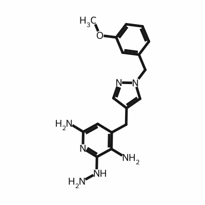 COc1cccc(Cn2cc(Cc3cc(N)nc(NN)c3N)cn2)c1